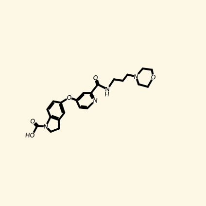 O=C(NCCCN1CCOCC1)c1cc(Oc2ccc3c(c2)CCN3C(=O)O)ccn1